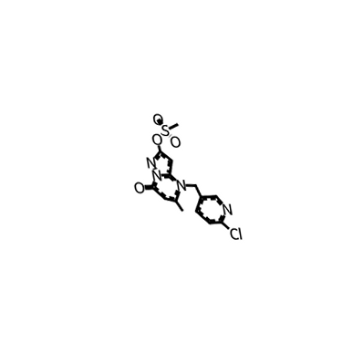 Cc1cc(=O)n2nc(OS(C)(=O)=O)cc2n1Cc1ccc(Cl)nc1